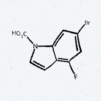 O=C(O)n1ccc2c(F)cc(Br)cc21